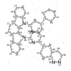 c1ccc(-c2cccc(-n3c4ccccc4c4ccc5c6ccccc6n(-c6nccc(-c7ccc8nnccc8c7)n6)c5c43)c2)cc1